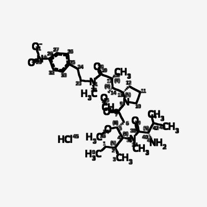 CC[C@H](C)[C@@H]([C@@H](CC(=O)N1CCC[C@H]1[C@H](OC)[C@@H](C)C(=O)N(C)CCc1ccc([N+](=O)[O-])cc1)OC)N(C)C(=O)[C@@H](N)C(C)C.Cl